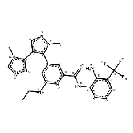 CCNc1cc(-c2c(-c3nncn3C)cnn2C)cc(C(=O)Nc2cccc(C(F)(F)F)c2N)n1